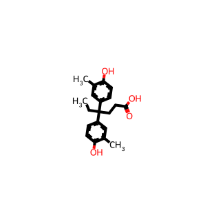 CCC(CCC(=O)O)(c1ccc(O)c(C)c1)c1ccc(O)c(C)c1